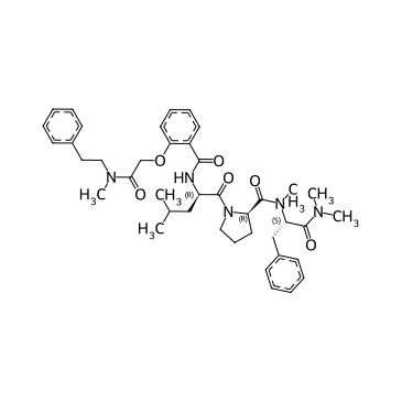 CC(C)C[C@@H](NC(=O)c1ccccc1OCC(=O)N(C)CCc1ccccc1)C(=O)N1CCC[C@@H]1C(=O)N(C)[C@@H](Cc1ccccc1)C(=O)N(C)C